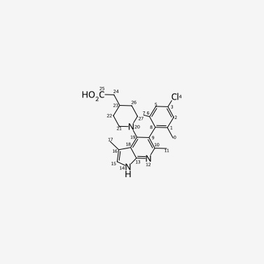 Cc1cc(Cl)cc(C)c1-c1c(C)nc2[nH]cc(C)c2c1N1CCC(CC(=O)O)CC1